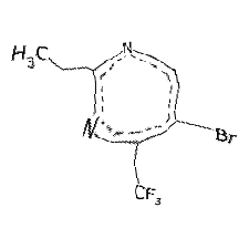 Cc1ncc(Br)c(C(F)(F)F)n1